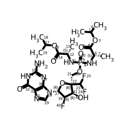 CC(C)OC(=O)[C@H](C)NP(=O)(N[C@@H](C)C(=O)OC(C)C)OC[C@@]1(C(F)F)O[C@@H](n2cnc3c(=O)[nH]c(N)nc32)[C@H](F)[C@@H]1O